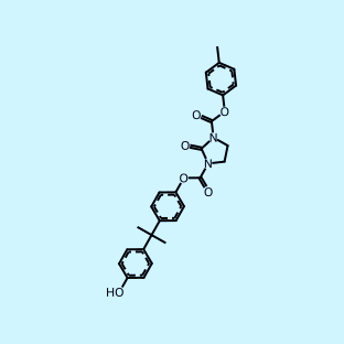 Cc1ccc(OC(=O)N2CCN(C(=O)Oc3ccc(C(C)(C)c4ccc(O)cc4)cc3)C2=O)cc1